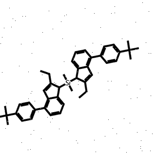 CCC1=Cc2c(-c3ccc(C(C)(C)C)cc3)cccc2C1[Si](C)(C)C1C(CC)=Cc2c(-c3ccc(C(C)(C)C)cc3)cccc21